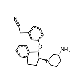 N#CCc1cccc(O[C@H]2c3ccccc3CC[C@@H]2N2CCC[C@@H](N)C2)c1